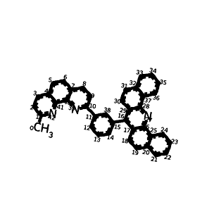 Cc1ccc2ccc3ccc(-c4cccc(-c5c6ccc7ccccc7c6nc6c5ccc5ccccc56)c4)nc3c2n1